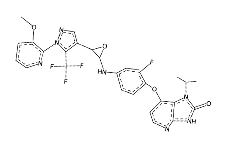 COc1cccnc1-n1ncc(C2OC2Nc2ccc(Oc3ccnc4[nH]c(=O)n(C(C)C)c34)c(F)c2)c1C(F)(F)F